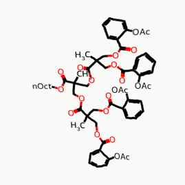 CCCCCCCCOC(=O)C(C)(COC(=O)C(C)(COC(=O)c1ccccc1OC(C)=O)COC(=O)c1ccccc1OC(C)=O)COC(=O)C(C)(COC(=O)c1ccccc1OC(C)=O)COC(=O)c1ccccc1OC(C)=O